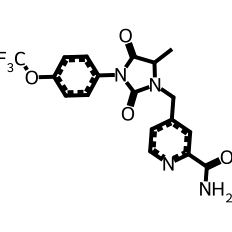 CC1C(=O)N(c2ccc(OC(F)(F)F)cc2)C(=O)N1Cc1ccnc(C(N)=O)c1